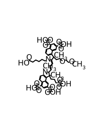 CCN1c2ccc3c(S(=O)(=O)O)cc(S(=O)(=O)O)cc3c2C(C)(CCCS(=O)(=O)O)C1C=CC=C1N(CCCCCC(=O)O)c2ccc3c(S(=O)(=O)O)cc(S(=O)(=O)O)cc3c2C1(C)CCOCCOC